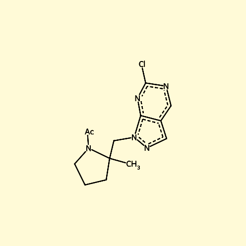 CC(=O)N1CCCC1(C)Cn1ncc2cnc(Cl)nc21